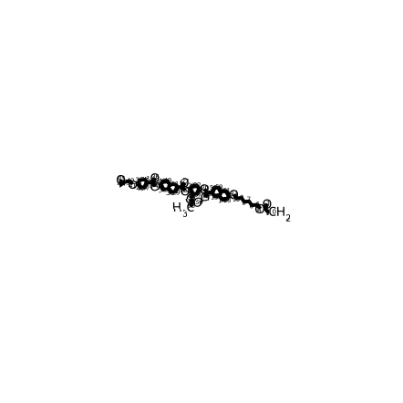 C=CC(=O)OCCCCCCOc1ccc2cc(C(=O)Oc3ccc(OC(=O)c4ccc5cc(OC(=O)c6ccc(OCC7CO7)cc6)ccc5c4)c(OC(C)=O)c3)ccc2c1